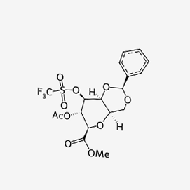 COC(=O)[C@@H]1O[C@@H]2CO[C@H](c3ccccc3)O[C@@H]2[C@H](OS(=O)(=O)C(F)(F)F)[C@H]1OC(C)=O